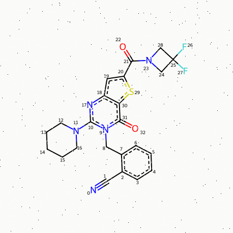 N#Cc1ccccc1Cn1c(N2CCCCC2)nc2cc(C(=O)N3CC(F)(F)C3)sc2c1=O